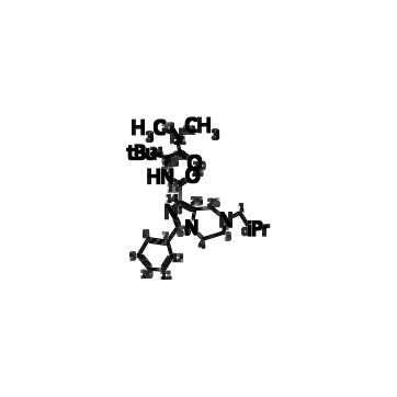 CC(C)CN1CCn2c(-c3ccccc3)nc(C(=O)N[C@H](C(=O)N(C)C)C(C)(C)C)c2C1